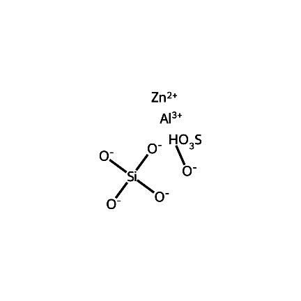 O=S(=O)([O-])O.[Al+3].[O-][Si]([O-])([O-])[O-].[Zn+2]